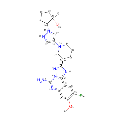 COc1cc2nc(N)n3nc([C@@H]4CCCN(c5cnn(C6CCCC6(C)O)c5)C4)nc3c2cc1F